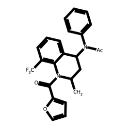 CC(=O)N(c1ccccc1)C1CC(C)N(C(=O)c2ccco2)c2c1cccc2C(F)(F)F